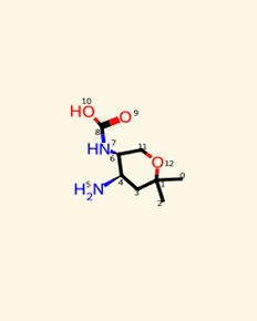 CC1(C)C[C@@H](N)[C@@H](NC(=O)O)CO1